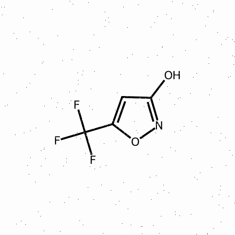 Oc1cc(C(F)(F)F)on1